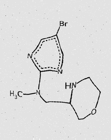 CN(CC1COCCN1)c1ncc(Br)cn1